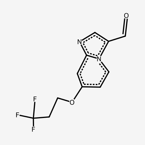 O=Cc1cnc2cc(OCCC(F)(F)F)ccn12